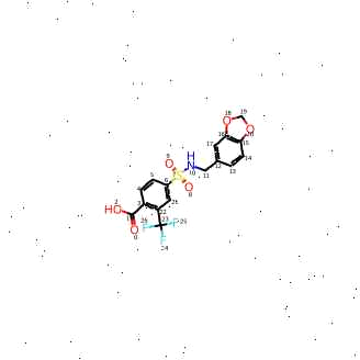 O=C(O)c1ccc(S(=O)(=O)NCc2ccc3c(c2)OCO3)cc1C(F)(F)F